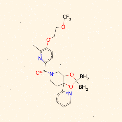 BC1(B)OC2CN(C(=O)c3ccc(OCCOC(F)(F)F)c(C)n3)CCC2(c2ccccn2)O1